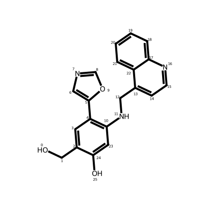 OCc1cc(-c2cnco2)c(NCc2ccnc3ccccc23)cc1O